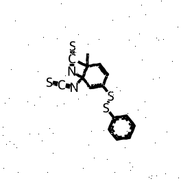 CC1(C)C=CC(SSc2ccccc2)=CC1(N=C=S)N=C=S